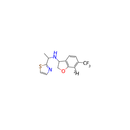 [2H]c1c(C(F)(F)F)ccc2c1OCC2NC(C)c1nccs1